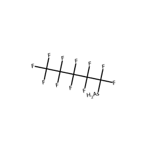 FC(F)(F)C(F)(F)C(F)(F)C(F)(F)C(F)(F)[AsH2]